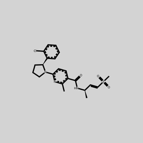 Cc1nc(N2CCC[C@H]2c2ccccc2Cl)ccc1C(=O)N[C@H](C)/C=C/S(C)(=O)=O